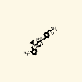 Cc1ccccc1CN(c1ncnc(NCc2ccc(CC(N)=O)cc2)c1F)C1CC1